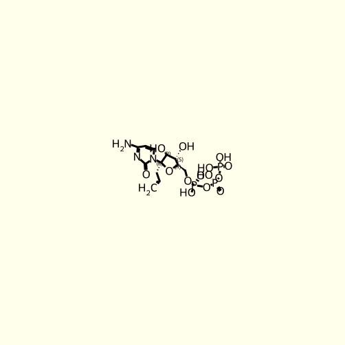 C=CC[C@@]1(n2ccc(N)nc2=O)O[C@H](COP(=O)(O)OP(=O)(O)OP(=O)(O)O)[C@@H](O)[C@H]1O